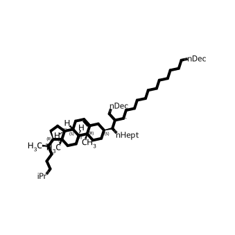 CCCCCCCCCCCCCCCCCCCCC[CH]C(CCCCCCCCCCC)C(CCCCCCC)[C@H]1CC[C@@]2(C)C(=CC[C@H]3[C@@H]4CC[C@H]([C@H](C)CCCC(C)C)[C@@]4(C)CC[C@@H]32)C1